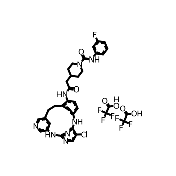 O=C(CC1CCN(C(=O)Nc2cccc(F)c2)CC1)Nc1ccc2cc1CCc1cncc(c1)Nc1ncc(Cl)c(n1)N2.O=C(O)C(F)(F)F.O=C(O)C(F)(F)F